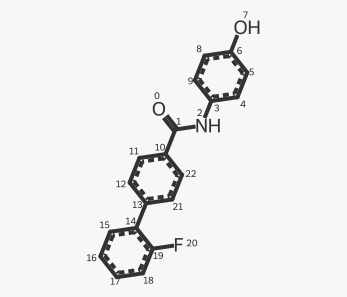 O=C(Nc1ccc(O)cc1)c1ccc(-c2ccccc2F)cc1